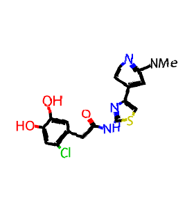 CNc1cc(-c2csc(NC(=O)Cc3cc(O)c(O)cc3Cl)n2)ccn1